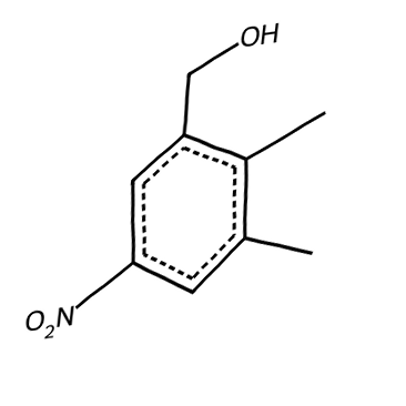 Cc1cc([N+](=O)[O-])cc(CO)c1C